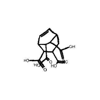 O=C(O)C1CC2C=CC(C1C(=O)O)C(C(=O)O)C2C(=O)O